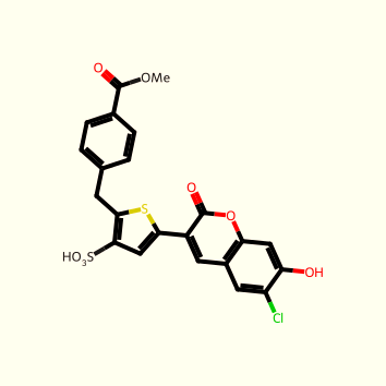 COC(=O)c1ccc(Cc2sc(-c3cc4cc(Cl)c(O)cc4oc3=O)cc2S(=O)(=O)O)cc1